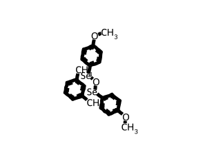 COc1ccc([Se]O[Se]c2ccc(OC)cc2)cc1.Cc1cccc(C)c1